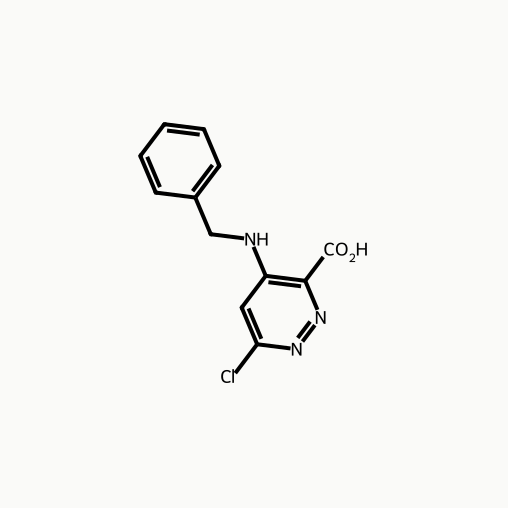 O=C(O)c1nnc(Cl)cc1NCc1ccccc1